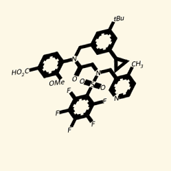 COc1cc(C(=O)O)ccc1N(Cc1cc(C2CC2)cc(C(C)(C)C)c1)C(=O)CN(Cc1cnccc1C)S(=O)(=O)c1c(F)c(F)c(F)c(F)c1F